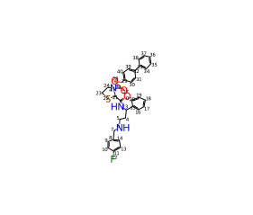 O=C(NC(CCNCc1ccc(F)cc1)c1ccccc1)C1SCCN1S(=O)(=O)c1ccc(-c2ccccc2)cc1